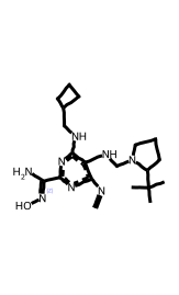 C=Nc1nc(/C(N)=N/O)nc(NCC2CCC2)c1NCN1CCCC1C(C)(C)C